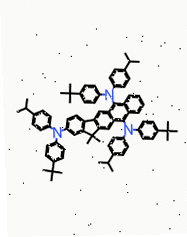 CC(C)c1ccc(N(c2ccc(C(C)(C)C)cc2)c2ccc3c(c2)C(C)(C)c2cc4c(N(c5ccc(C(C)C)cc5)c5ccc(C(C)(C)C)cc5)c5ccccc5c(N(c5ccc(C(C)C)cc5)c5ccc(C(C)(C)C)cc5)c4cc2-3)cc1